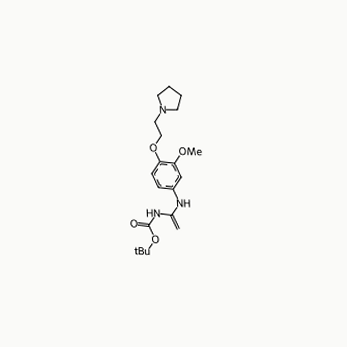 C=C(NC(=O)OC(C)(C)C)Nc1ccc(OCCN2CCCC2)c(OC)c1